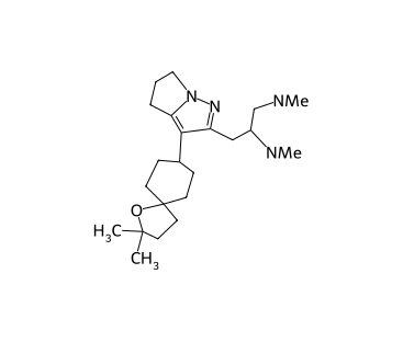 CNCC(Cc1nn2c(c1C1CCC3(CC1)CCC(C)(C)O3)CCC2)NC